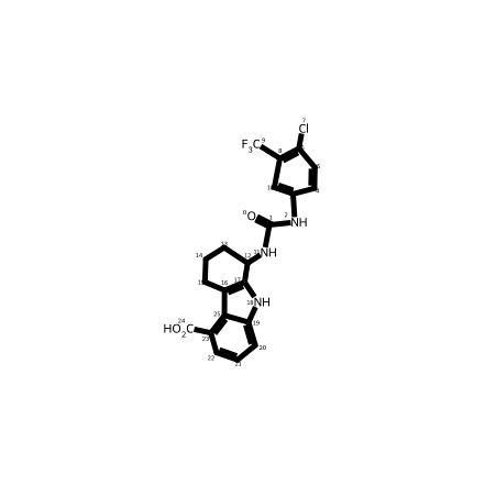 O=C(Nc1ccc(Cl)c(C(F)(F)F)c1)NC1CCCc2c1[nH]c1cccc(C(=O)O)c21